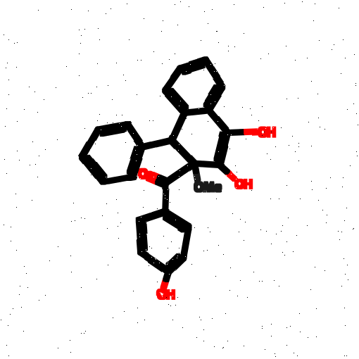 COC1(C(=O)c2ccc(O)cc2)C(O)=C(O)c2ccccc2C1c1ccccc1